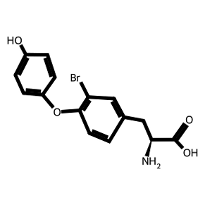 N[C@@H](Cc1ccc(Oc2ccc(O)cc2)c(Br)c1)C(=O)O